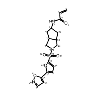 C=CC(=O)NC1CC2CN(S(=O)(=O)c3ccc(-c4ccno4)o3)CC2C1